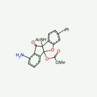 COC(=O)OC12Oc3cc(C(C)C)ccc3C1(NC(C)=O)C(=O)c1c(N)cccc12